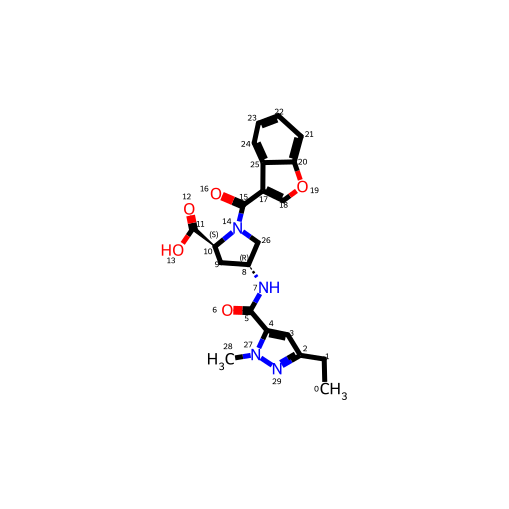 CCc1cc(C(=O)N[C@@H]2C[C@@H](C(=O)O)N(C(=O)c3coc4ccccc34)C2)n(C)n1